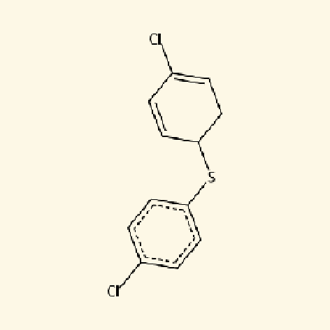 ClC1=CCC(Sc2ccc(Cl)cc2)C=C1